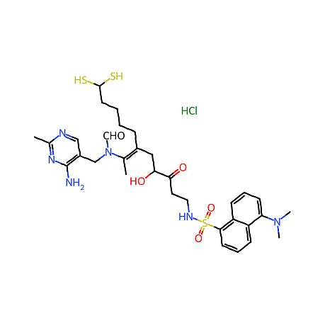 CC(=C(CCCCC(S)S)CC(O)C(=O)CCNS(=O)(=O)c1cccc2c(N(C)C)cccc12)N(C=O)Cc1cnc(C)nc1N.Cl